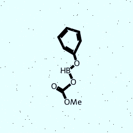 COC(=O)OBOc1ccccc1